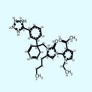 CCCCc1cn(-c2c(C(C)=O)ccn2CC)c(=O)n1CC1(c2cccc(-c3nnn[nH]3)c2)C=CN=CC1